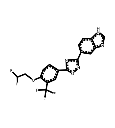 FC(F)COc1ccc(-c2nc(-c3ccc4[nH]cnc4c3)no2)cc1C(F)(F)F